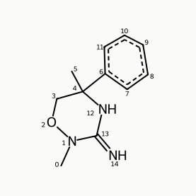 CN1OCC(C)(c2ccccc2)NC1=N